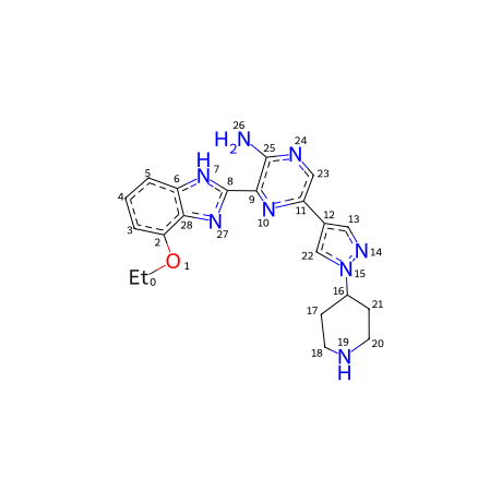 CCOc1cccc2[nH]c(-c3nc(-c4cnn(C5CCNCC5)c4)cnc3N)nc12